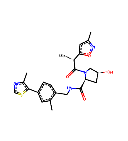 Cc1cc([C@H](C(=O)N2C[C@H](O)C[C@H]2C(=O)NCc2ccc(-c3scnc3C)cc2C)C(C)(C)C)on1